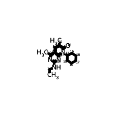 CCNc1nc(C)c2cc(C)c(=O)n(C3CCCCC3)c2n1